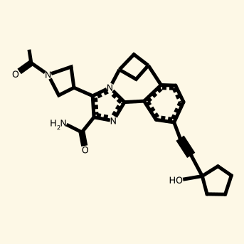 CC(=O)N1CC(c2c(C(N)=O)nc3n2C2CC(C2)c2ccc(C#CC4(O)CCCC4)cc2-3)C1